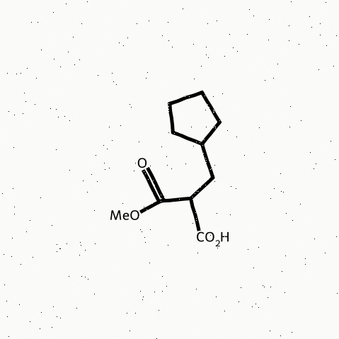 COC(=O)C(CC1CCCC1)C(=O)O